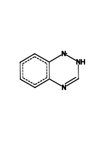 C1=Nc2ccccc2[N]N1